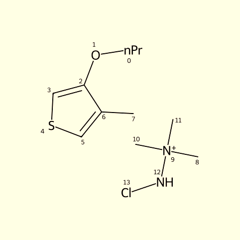 CCCOc1cscc1C.C[N+](C)(C)NCl